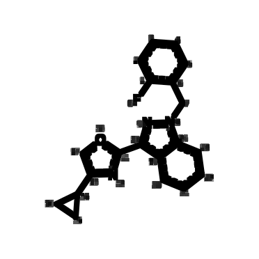 Fc1ccccc1Cn1nc(-c2nc(C3CC3)co2)c2ccccc21